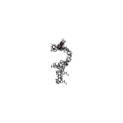 Cc1ncsc1-c1cc(F)c([C@H](C)NC(=O)[C@@H]2C[C@@H](O)CN2C(=O)[C@@H](c2cc(N3CCC(CN4CCC(O[C@H]5C[C@H](Oc6cc(N7C8CCC7CN(c7cc(-c9ccccc9O)nnc7N)C8)ccn6)C5)CC4)CC3)no2)C(C)C)cc1F